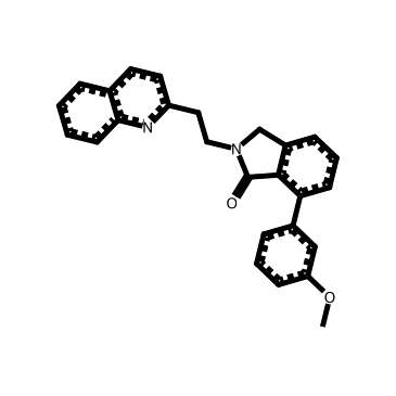 COc1cccc(-c2cccc3c2C(=O)N(CCc2ccc4ccccc4n2)C3)c1